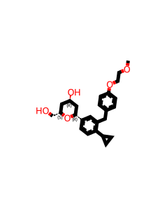 COCCOc1ccc(Cc2cc([C@H]3C[C@@H](O)C[C@@H](CO)O3)ccc2C2CC2)cc1